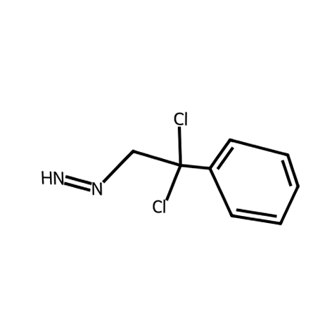 N=NCC(Cl)(Cl)c1ccccc1